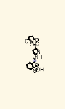 O=C(ON1C(=O)CCC1=O)c1ccc(N/N=C/c2ccccc2S(=O)(=O)O)nc1